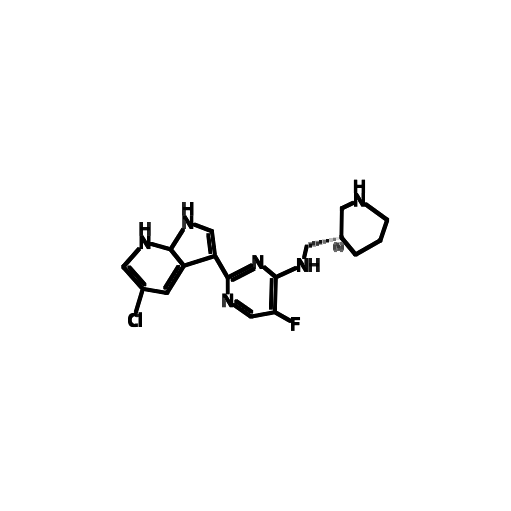 Fc1cnc(C2=CNC3NC=C(Cl)C=C23)nc1NC[C@H]1CCCNC1